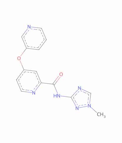 Cn1cnc(NC(=O)c2cc(Oc3cccnc3)ccn2)n1